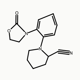 N#CC1CCCCN1c1ccccc1N1CCOC1=O